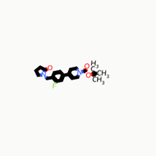 CC(C)(C)OC(=O)N1CC=C(c2ccc(CN3CCCC3=O)c(F)c2)CC1